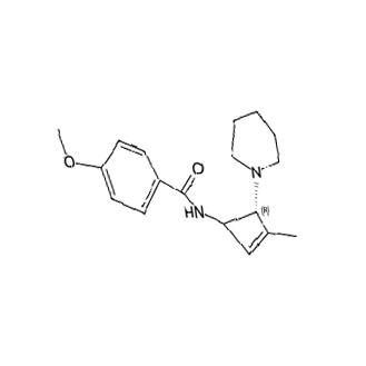 COc1ccc(C(=O)NC2C=C(C)[C@H]2N2CCCCC2)cc1